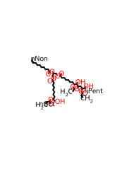 C=CC(=O)OC(CCCCCCCC(=O)OCC(COC(=O)CCCCCCCC(O)C(CC(OC(=O)C=C)C(O)CCCCC)OC(=O)C=C)OC(=O)CCCCCCC/C=C\CCCCCCCCC)C(O)CCCCCCCC